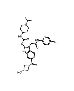 CC(C)N1CCC(NC(=O)Oc2nc3cc(C(=O)N4CC(O)C4)ccc3n2CC(=O)Nc2ccc(Cl)cn2)CC1